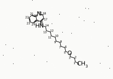 CCCCOCCCCCCCCCCNc1ccnc2ccccc12